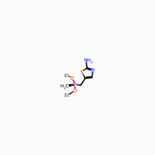 C=P(Cc1cnc(N)s1)(OCC)OCC